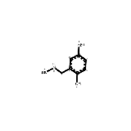 CCCCc1ccc(O)c(CNC(C)(C)C)c1